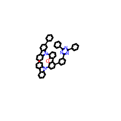 c1ccc(-c2ccc3c4ccccc4n(-c4cccc5c4oc4c(-n6c7ccccc7c7ccccc76)ccc(-c6cccc(-c7nc(-c8ccccc8)nc(-c8ccccc8)n7)c6)c45)c3c2)cc1